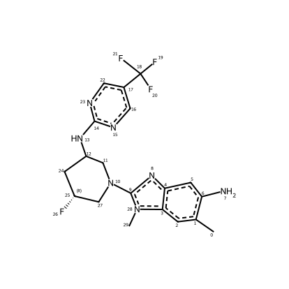 Cc1cc2c(cc1N)nc(N1CC(Nc3ncc(C(F)(F)F)cn3)C[C@@H](F)C1)n2C